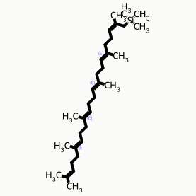 CC(C)=CCC/C(C)=C/CC/C(C)=C/CC/C=C(\C)CC/C=C(\C)CCC=C(C)C[Si](C)(C)C